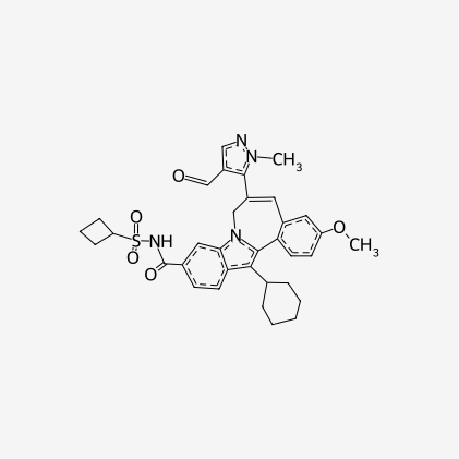 COc1ccc2c(c1)C=C(c1c(C=O)cnn1C)Cn1c-2c(C2CCCCC2)c2ccc(C(=O)NS(=O)(=O)C3CCC3)cc21